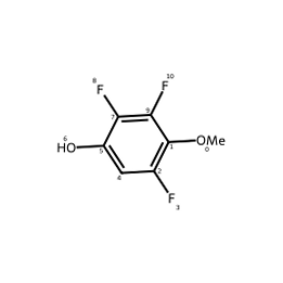 COc1c(F)cc(O)c(F)c1F